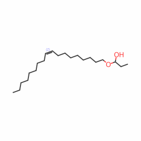 CCCCCCCC/C=C\CCCCCCCCOC(O)CC